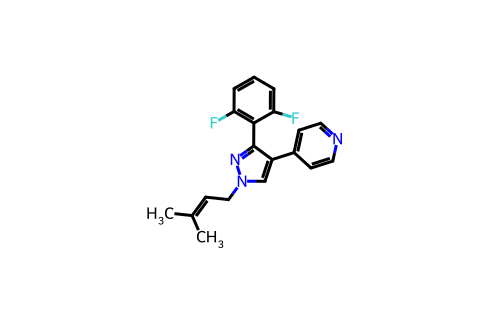 CC(C)=CCn1cc(-c2ccncc2)c(-c2c(F)cccc2F)n1